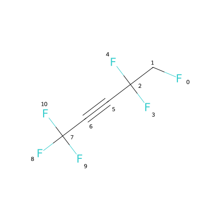 FCC(F)(F)C#CC(F)(F)F